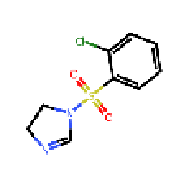 O=S(=O)(c1ccccc1Cl)N1C=NCC1